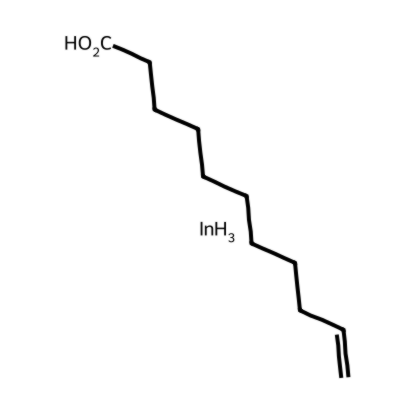 C=CCCCCCCCCC(=O)O.[InH3]